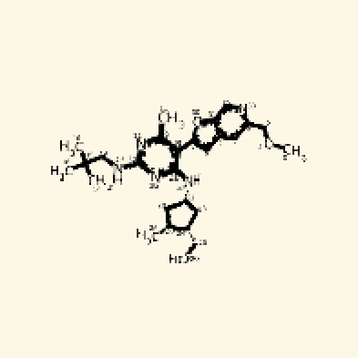 COCc1cc2cc(-c3c(C)nc(NCC(C)(C)C)nc3N[C@@H]3C[C@H](CO)[C@@H](C)C3)oc2cn1